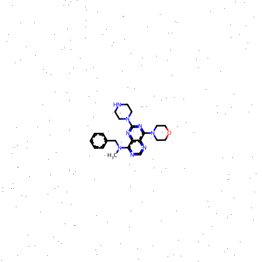 CN(Cc1ccccc1)c1ncnc2c(N3CCOCC3)nc(N3CCNCC3)nc12